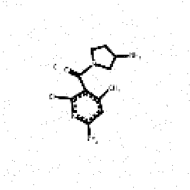 Cc1cc(C(F)(F)F)nc(Cl)c1C(=O)N1CCC(N)C1.Cl